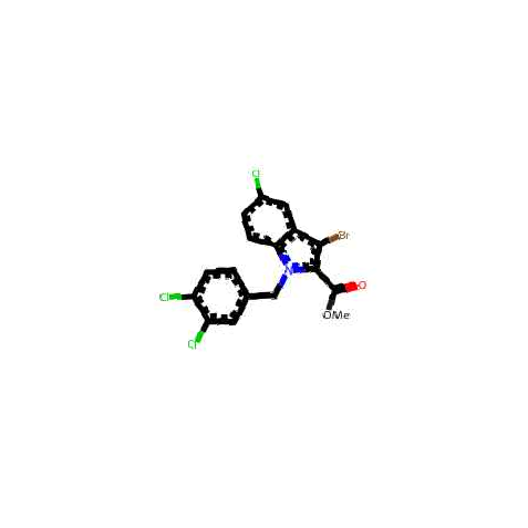 COC(=O)c1c(Br)c2cc(Cl)ccc2n1Cc1ccc(Cl)c(Cl)c1